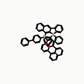 c1ccc(-c2ccc(N(c3ccc(-c4cccc5cccc(-c6ccccc6)c45)cc3)c3c4c(cc5ccccc35)-c3ccccc3S4(c3ccccc3)c3ccccc3)cc2)cc1